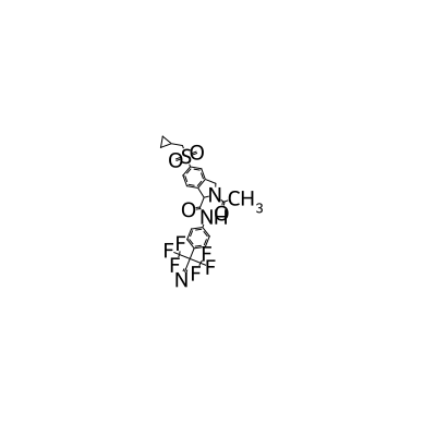 CC(=O)N1Cc2cc(S(=O)(=O)CC3CC3)ccc2C1C(=O)Nc1ccc(C(C#N)(C(F)(F)F)C(F)(F)F)cc1